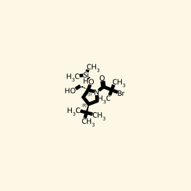 C[SiH](C)O[C@]1(CO)C[C@H](C(C)(C)C)CN1C(=O)C(C)(C)Br